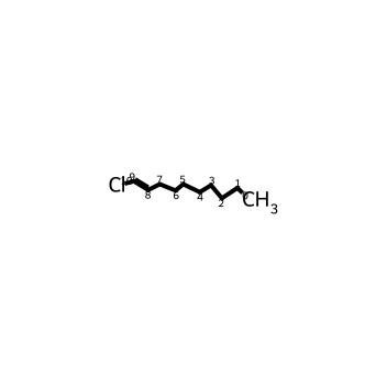 CCCCCCCC/C=C/Cl